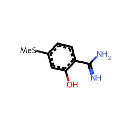 CSc1ccc(C(=N)N)c(O)c1